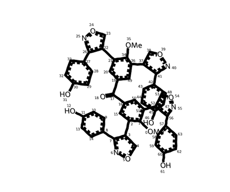 COc1c(-c2conc2-c2ccc(O)cc2)cc(C(=O)c2cc(-c3conc3-c3ccc(O)cc3)c(OC)c(-c3conc3-c3ccc(O)cc3)c2)cc1-c1conc1-c1ccc(O)cc1